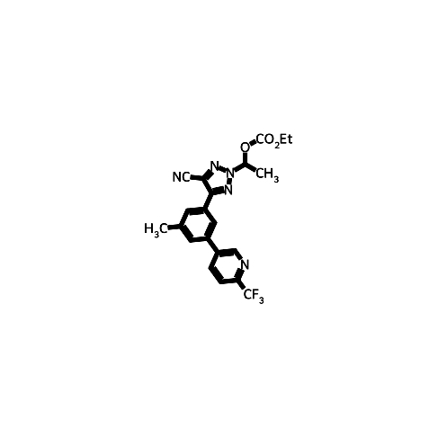 CCOC(=O)OC(C)n1nc(C#N)c(-c2cc(C)cc(-c3ccc(C(F)(F)F)nc3)c2)n1